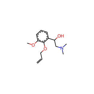 C=CCOc1c(OC)cccc1C(O)CN(C)C